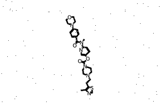 Cc1ncsc1CCN1CCN(C(=O)Oc2ccc(N(C)C(=O)c3ccc(N4CCOCC4)cc3)nc2)CC1